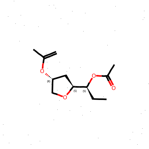 C=C(C)O[C@H]1CO[C@H]([C@H](CC)OC(C)=O)C1